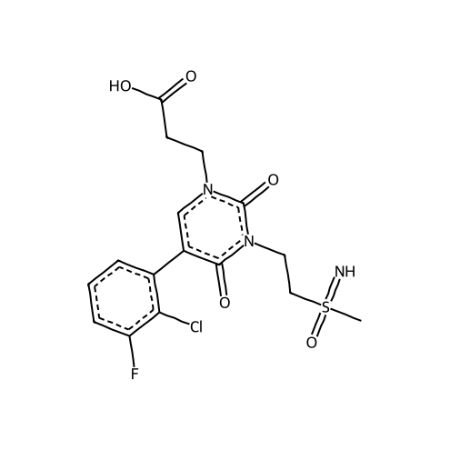 CS(=N)(=O)CCn1c(=O)c(-c2cccc(F)c2Cl)cn(CCC(=O)O)c1=O